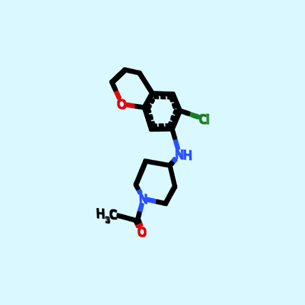 CC(=O)N1CCC(Nc2cc3c(cc2Cl)CCCO3)CC1